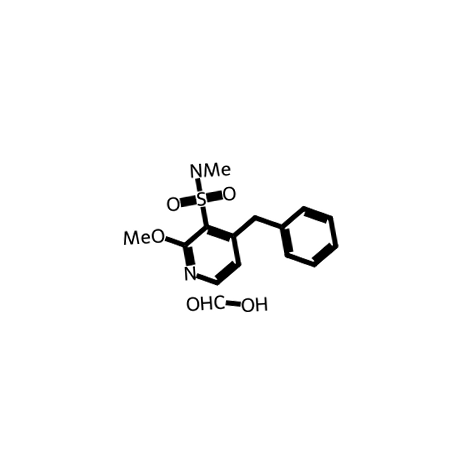 CNS(=O)(=O)c1c(Cc2ccccc2)ccnc1OC.O=CO